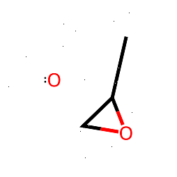 CC1CO1.[O]